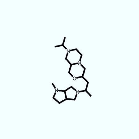 CC(C)N1CCN2CC(CC(C)N3CC4CCN(C)C4C3)OCC2C1